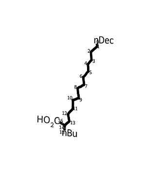 CCCCCCCCCCCCCCCCCCCCCCCC(CCCC)C(=O)O